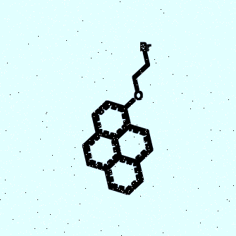 BrCCOc1ccc2ccc3cccc4ccc1c2c34